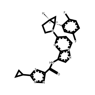 O=C(Nc1cnn2ccc(N3CC[C@H]4C[C@]43c3cc(F)ccc3F)nc12)c1nnc(C2CC2)s1